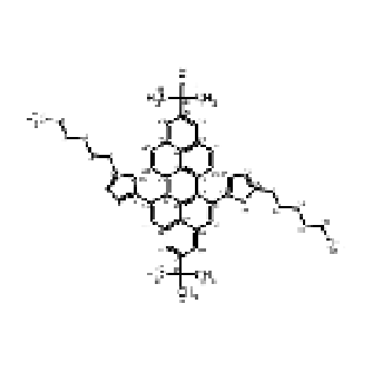 CCCCCCc1ccc(-c2cc3cc(C(C)(C)C)cc4cc(-c5ccc(CCCCCC)s5)c5c6ccc7cc(C(C)(C)C)cc8ccc(c2c5c34)c6c87)s1